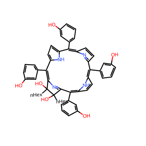 CCCCCCC1(O)c2nc(c(-c3cccc(O)c3)c3ccc([nH]3)c(-c3cccc(O)c3)c3nc(c(-c4cccc(O)c4)c4ccc([nH]4)c2-c2cccc(O)c2)C=C3)C1(O)CCCCCC